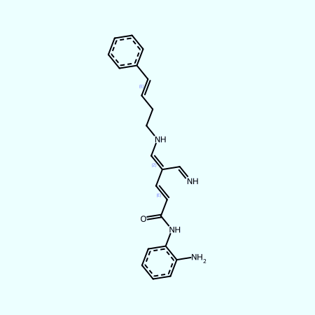 N=CC(=C\NCC/C=C/c1ccccc1)/C=C/C(=O)Nc1ccccc1N